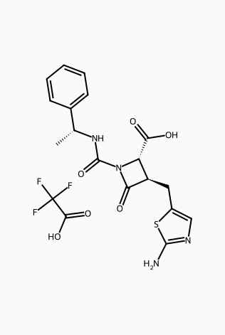 C[C@@H](NC(=O)N1C(=O)[C@H](Cc2cnc(N)s2)[C@H]1C(=O)O)c1ccccc1.O=C(O)C(F)(F)F